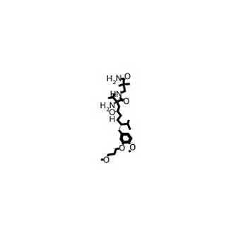 COCCCOc1cc(C[C@H](CC[C@H](O)C[C@@](N)(C(=O)NCC(C)(C)C(N)=O)C(C)C)C(C)C)ccc1OC